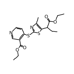 CCOC(=O)c1cnccc1Sc1nc(C)c(C(CC)C(=O)OCC)s1